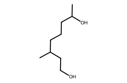 CC(O)CCCC(C)CCO